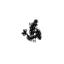 CCC(=O)N(CCCCCC(=O)NC(C(=O)NCC(=O)Nc1ccc(C(OC(=O)N(C)C(C(=O)NCC(=O)N(C)[C@@H]([C@@H](C)CC)[C@@H](CC(=O)N2CCC[C@H]2[C@H](OC)[C@@H](C)C(=O)N[C@@H](Cc2ccccc2)c2nccs2)OC)C(C)C)C(=O)N2CCN(C)CC2)cc1)C(C)C)C(=O)CC